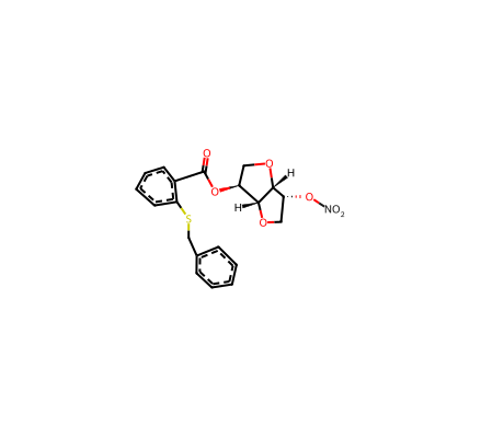 O=C(O[C@H]1CO[C@H]2[C@@H]1OC[C@H]2O[N+](=O)[O-])c1ccccc1SCc1ccccc1